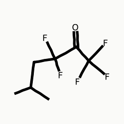 CC(C)CC(F)(F)C(=O)C(F)(F)F